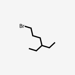 CCC(CC)CCCBr